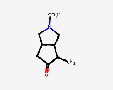 CC1C(=O)CC2CN(C(=O)O)CC21